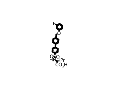 CC(C)[C@@H](NS(=O)(=O)c1ccc(-c2ccc(COc3cccc(F)c3)cc2)cc1)C(=O)O